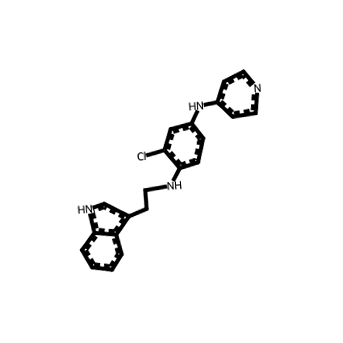 Clc1cc(Nc2ccncc2)ccc1NCCc1c[nH]c2ccccc12